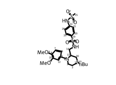 CCCCN1CCN(c2ccc(OC)c(OC)c2)C(CNS(=O)(=O)c2ccc(NS(C)(=O)=O)cc2)C1